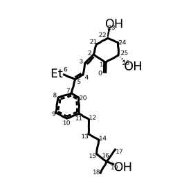 C=C1/C(=C\C=C(/CC)c2cccc(CCCCC(C)(C)O)c2)C[C@@H](O)C[C@@H]1O